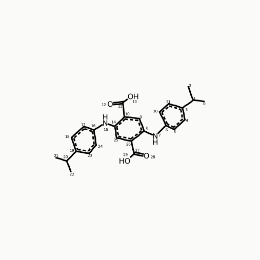 CC(C)c1ccc(Nc2cc(C(=O)O)c(Nc3ccc(C(C)C)cc3)cc2C(=O)O)cc1